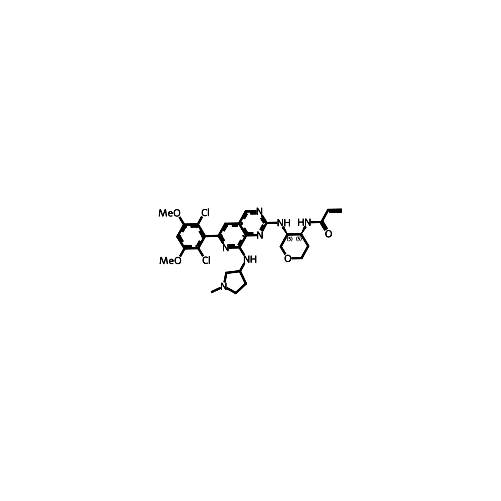 C=CC(=O)N[C@H]1CCOC[C@H]1Nc1ncc2cc(-c3c(Cl)c(OC)cc(OC)c3Cl)nc(NC3CCN(C)C3)c2n1